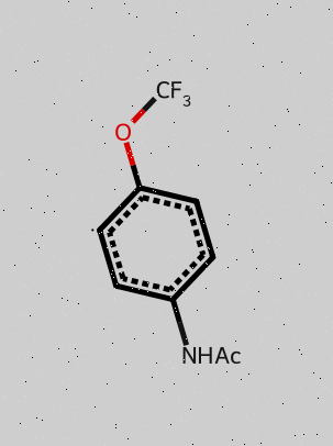 CC(=O)Nc1c[c]c(OC(F)(F)F)cc1